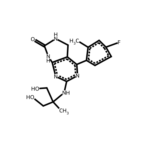 Cc1cc(F)ccc1-c1nc(NC(C)(CO)CO)nc2c1CNC(=O)N2